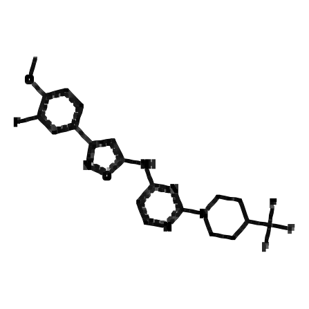 COc1ccc(-c2cc(Nc3ccnc(N4CCC(C(F)(F)F)CC4)n3)on2)cc1F